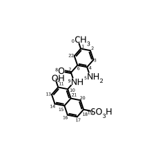 Cc1ccc(N)c(C(=O)Nc2c(O)ccc3ccc(S(=O)(=O)O)cc23)c1